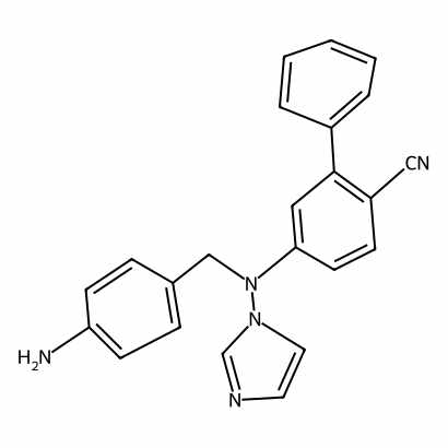 N#Cc1ccc(N(Cc2ccc(N)cc2)n2ccnc2)cc1-c1ccccc1